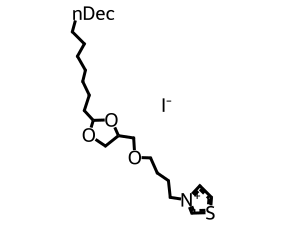 CCCCCCCCCCCCCCCCCC1OCC(COCCCC[n+]2ccsc2)O1.[I-]